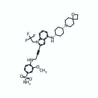 COc1cc(S(N)(=O)=O)ccc1NCC#Cc1cc2c(N[C@H]3CC[C@@H](N4CCC5(CCO5)CC4)CC3)cccc2n1CC(F)(F)F